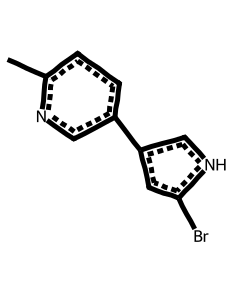 Cc1ccc(-c2c[nH]c(Br)c2)cn1